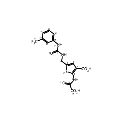 O=C(NCc1cc(C(=O)O)c(NC(=O)C(=O)O)s1)Nc1cccc(C(F)(F)F)c1